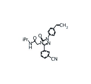 C=Cc1ccc(-n2nc(-c3cccc(C#N)c3)n(CC(=O)NC(C)C)c2=O)cc1